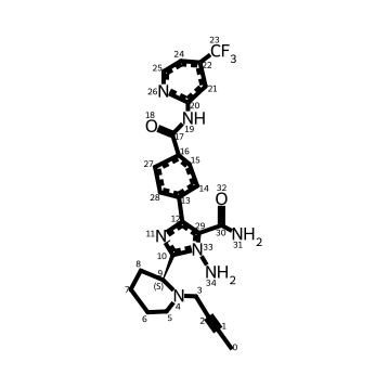 CC#CCN1CCCC[C@H]1c1nc(-c2ccc(C(=O)Nc3cc(C(F)(F)F)ccn3)cc2)c(C(N)=O)n1N